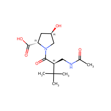 CC(=O)NC[C@H](C(=O)N1C[C@H](O)C[C@H]1C(=O)O)C(C)(C)C